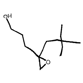 CC(C)(C)CC1(CCCO)CO1